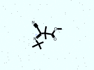 COC(=O)C(C)(C)/C(C#N)=N\C(C)(C)C